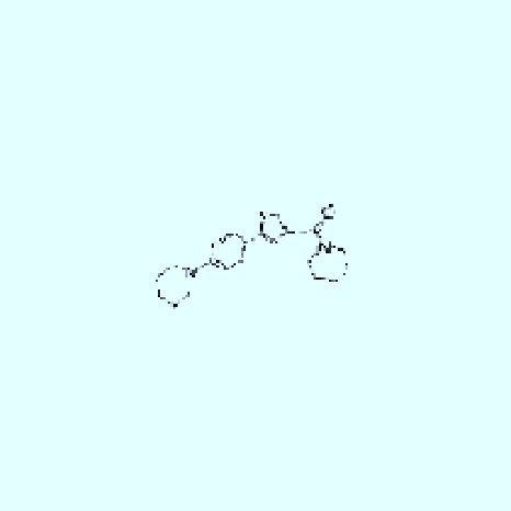 O=C(C1C=C(c2ccc(N3CCCCC3)cc2)SC1)N1CCCCC1